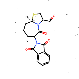 O=CC1CS[C@@H]2CCCC(N3C(=O)c4ccccc4C3=O)C(=O)N12